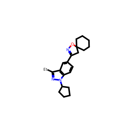 CCc1nn(C2CCCC2)c2ccc(C3=NOC4(CCCCC4)C3)cc12